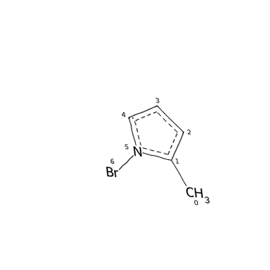 Cc1cc[c]n1Br